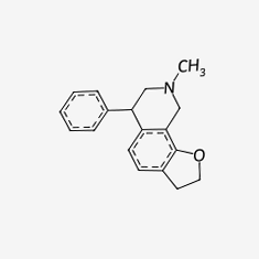 CN1Cc2c(ccc3c2OCC3)C(c2ccccc2)C1